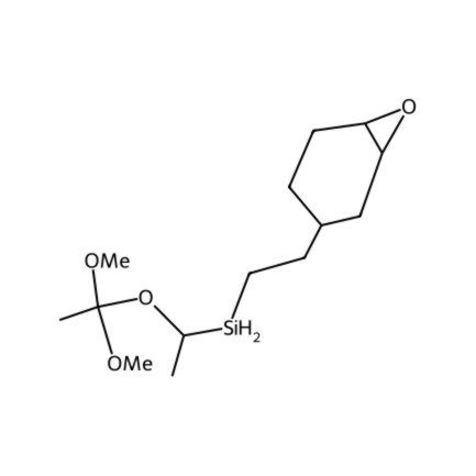 COC(C)(OC)OC(C)[SiH2]CCC1CCC2OC2C1